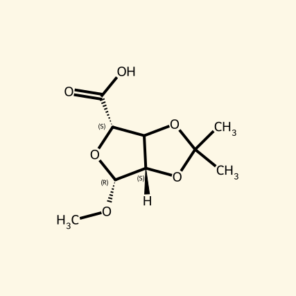 CO[C@@H]1O[C@H](C(=O)O)C2OC(C)(C)O[C@@H]21